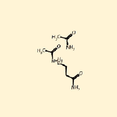 CC(N)=O.CC(N)=O.CCCC(N)=O